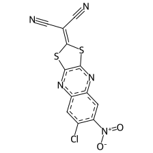 N#CC(C#N)=C1Sc2nc3cc(Cl)c([N+](=O)[O-])cc3nc2S1